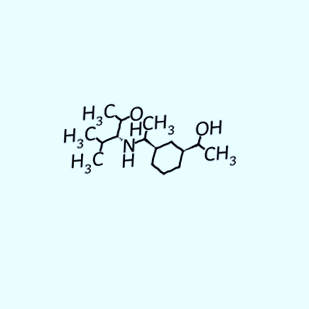 CC(O)[C@H]1CCC[C@@H](C(C)N[C@H](C(C)C)C(C)O)C1